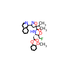 COc1ccccc1OC(=O)C[C@H](NC(=O)C1(C(C)C)CC(c2nccc3ccccc23)=NO1)C(=O)CF